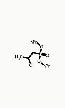 CCCOP(=O)(CC(C)O)OCCC